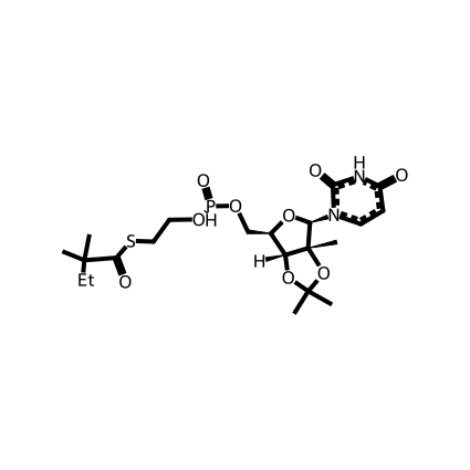 CCC(C)(C)C(=O)SCCO[PH](=O)OC[C@H]1O[C@@H](n2ccc(=O)[nH]c2=O)[C@]2(C)OC(C)(C)O[C@H]12